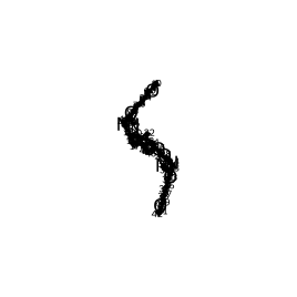 C=COCCCCCCOc1cnc(Cc2ccc3c(c2)C(C)c2cc(OCOc4ncc(OCCCCCCOC=C)cn4)ccc2-3)nc1